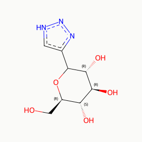 OC[C@H]1OC(c2c[nH]nn2)[C@H](O)[C@@H](O)[C@@H]1O